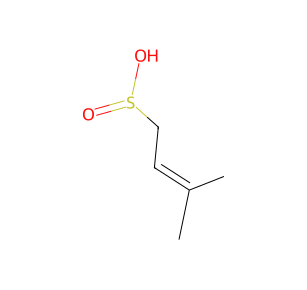 CC(C)=CCS(=O)O